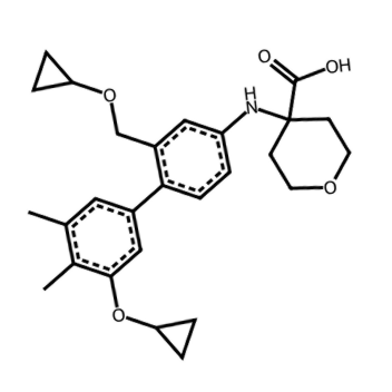 Cc1cc(-c2ccc(NC3(C(=O)O)CCOCC3)cc2COC2CC2)cc(OC2CC2)c1C